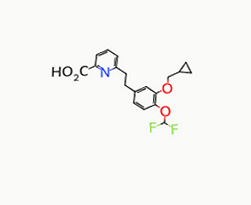 O=C(O)c1cccc(CCc2ccc(OC(F)F)c(OCC3CC3)c2)n1